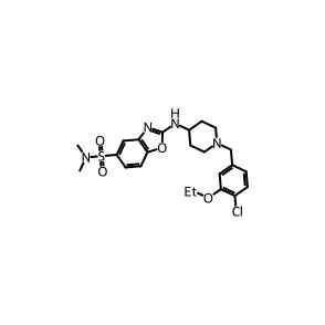 CCOc1cc(CN2CCC(Nc3nc4cc(S(=O)(=O)N(C)C)ccc4o3)CC2)ccc1Cl